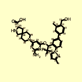 Cc1ccn(-c2ccc(-c3ccc(CO)c(C)c3)cc2C(Oc2cc(N3CCC4(CC3)CN[C@H](C(=O)O)C4)nc(N)n2)C(F)(F)F)n1